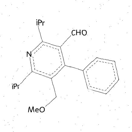 COCc1c(C(C)C)nc(C(C)C)c(C=O)c1-c1ccccc1